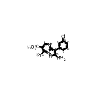 CC(C)c1c(C(=O)O)cnc2c(-c3cccc(Cl)c3)c(N)nn12